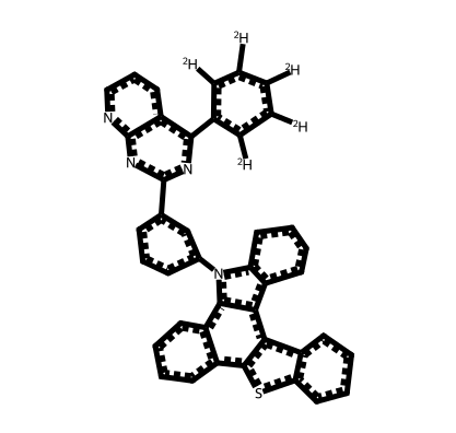 [2H]c1c([2H])c([2H])c(-c2nc(-c3cccc(-n4c5ccccc5c5c6c7ccccc7sc6c6ccccc6c54)c3)nc3ncccc23)c([2H])c1[2H]